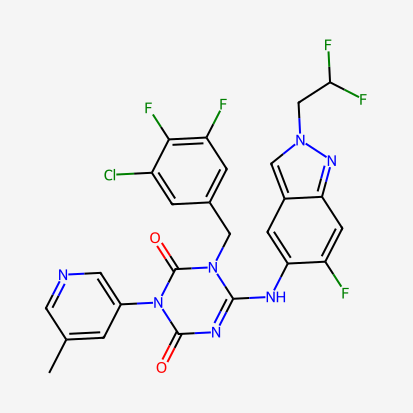 Cc1cncc(-n2c(=O)nc(Nc3cc4cn(CC(F)F)nc4cc3F)n(Cc3cc(F)c(F)c(Cl)c3)c2=O)c1